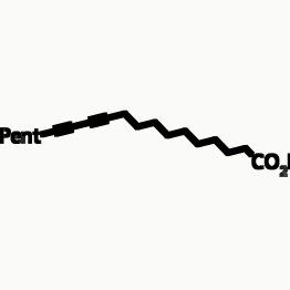 CCCCCC#CC#CCCCCCCCCCC(=O)O